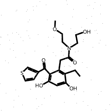 CCc1c(O)cc(O)c(C(=O)c2ccsc2)c1CC(=O)N(CCO)CCOC